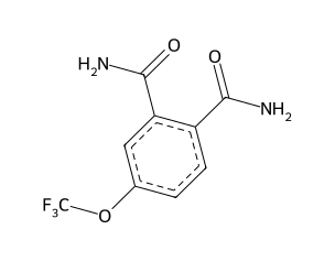 NC(=O)c1ccc(OC(F)(F)F)cc1C(N)=O